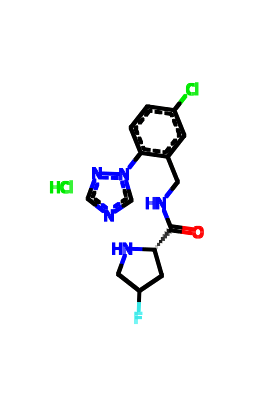 Cl.O=C(NCc1cc(Cl)ccc1-n1cncn1)[C@@H]1CC(F)CN1